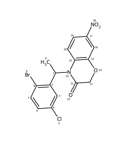 CC(c1cc(Cl)ccc1Br)N1C(=O)COc2cc([N+](=O)[O-])ccc21